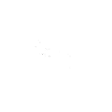 CN(Cc1ccccc1)C1CCCc2cc(Oc3ccc(C(N)=O)cn3)ccc21